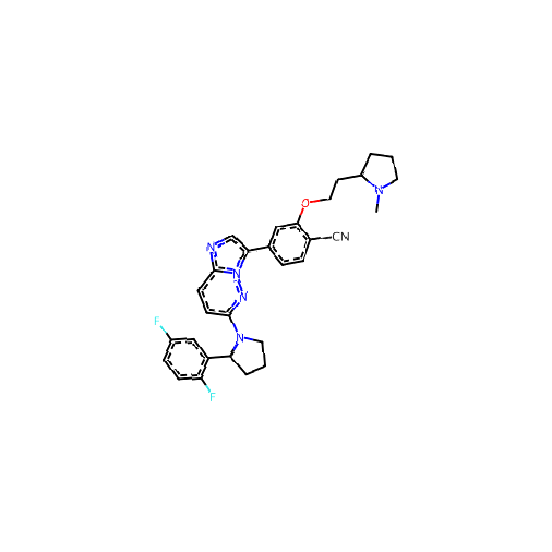 CN1CCCC1CCOc1cc(-c2cnc3ccc(N4CCCC4c4cc(F)ccc4F)nn23)ccc1C#N